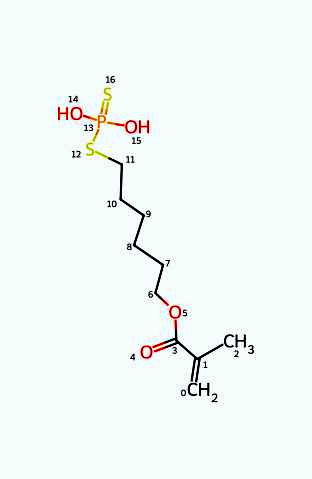 C=C(C)C(=O)OCCCCCCSP(O)(O)=S